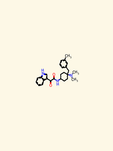 Cc1cccc(CC2(N(C)C)CCC(NC(=O)C(=O)c3c[nH]c4ccccc34)CC2)c1